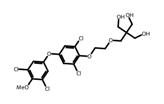 COc1c(Cl)cc(Oc2cc(Cl)c(OCCOCC(CO)(CO)CO)c(Cl)c2)cc1Cl